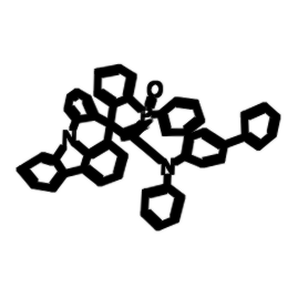 O=P1(c2ccccc2)c2ccccc2C2(c3ccccc3-n3c4ccccc4c4cccc2c43)c2ccc(N(c3ccccc3)c3ccc(-c4ccccc4)cc3)cc21